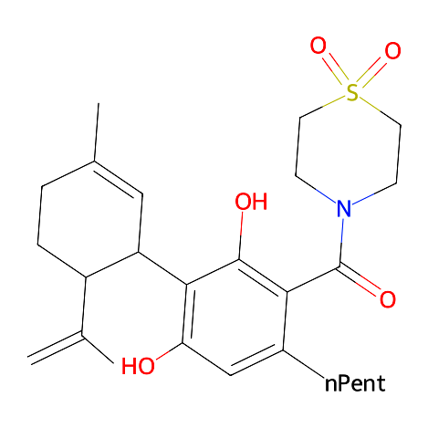 C=C(C)C1CCC(C)=CC1c1c(O)cc(CCCCC)c(C(=O)N2CCS(=O)(=O)CC2)c1O